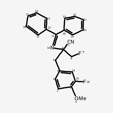 COc1ccc(CC(C#N)(CF)N=C(c2ccccc2)c2ccccc2)cc1F